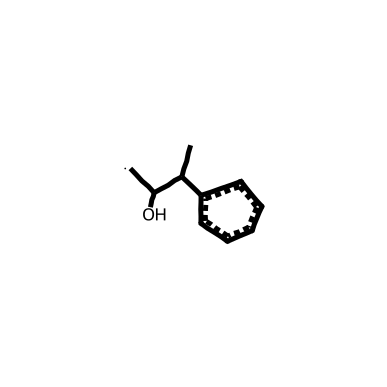 [CH2]C(O)C(C)c1ccccc1